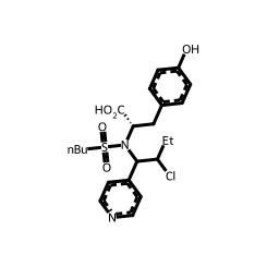 CCCCS(=O)(=O)N(C(c1ccncc1)C(Cl)CC)[C@@H](Cc1ccc(O)cc1)C(=O)O